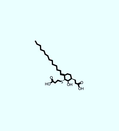 CCCCCCCCCCCCC/C=C1\CC[C@@H](CCC(=O)O)[C@@H](O)[C@@H]1SCCC(=O)O